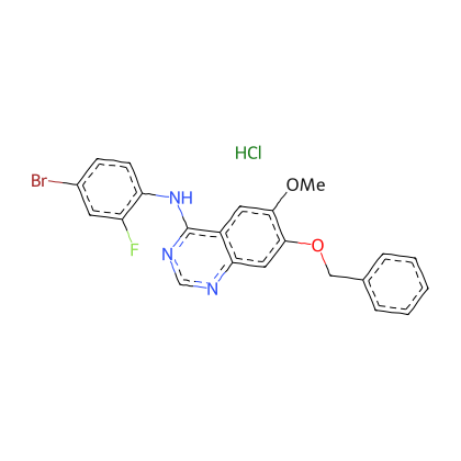 COc1cc2c(Nc3ccc(Br)cc3F)ncnc2cc1OCc1ccccc1.Cl